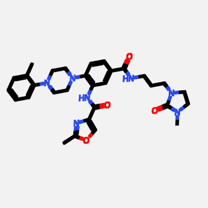 Cc1nc(C(=O)Nc2cc(C(=O)NCCCN3CCN(C)C3=O)ccc2N2CCN(c3ccccc3C)CC2)co1